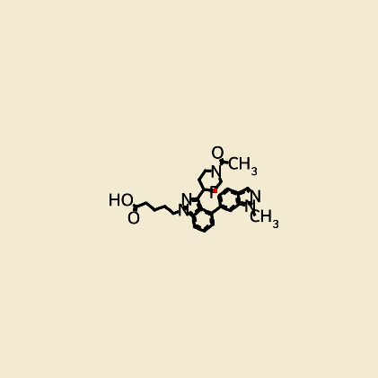 CC(=O)N1CCC(c2nn(CCCCC(=O)O)c3cccc(-c4cc5c(cnn5C)cc4F)c23)CC1